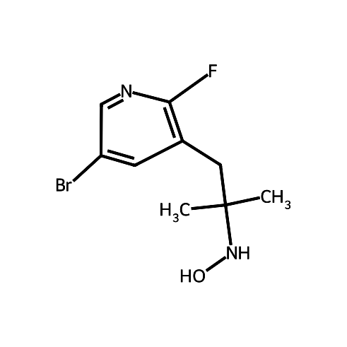 CC(C)(Cc1cc(Br)cnc1F)NO